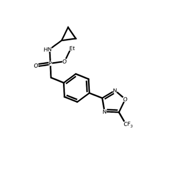 CCOP(=O)(Cc1ccc(-c2noc(C(F)(F)F)n2)cc1)NC1CC1